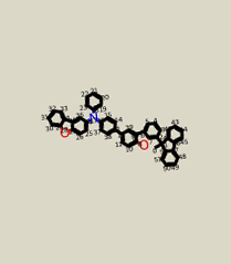 CC1(c2cccc3c2oc2ccc(-c4ccc(N(c5ccccc5)c5ccc6oc7ccccc7c6c5)cc4)cc23)c2ccccc2-c2ccccc21